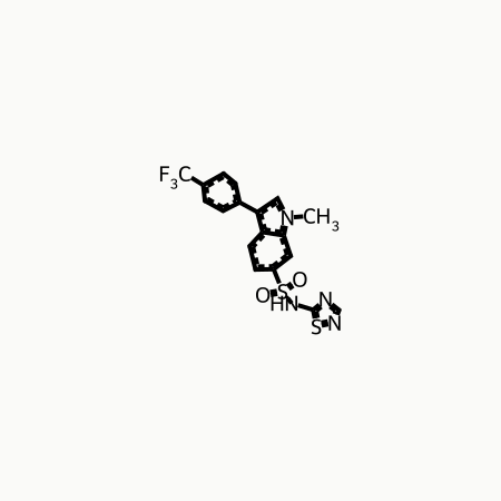 Cn1cc(-c2ccc(C(F)(F)F)cc2)c2ccc(S(=O)(=O)Nc3ncns3)cc21